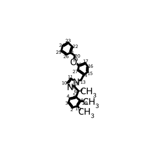 Cc1cccc([C@H](C)c2nccn2Cc2cccc(OCc3ccccc3)c2)c1C